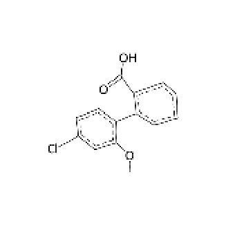 COc1cc(Cl)ccc1-c1ccccc1C(=O)O